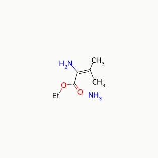 CCOC(=O)C(N)=C(C)C.N